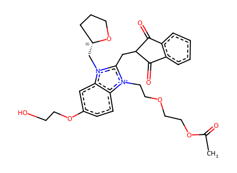 CC(=O)OCCOCC[n+]1c(CC2C(=O)c3ccccc3C2=O)n(C[C@@H]2CCCO2)c2cc(OCCO)ccc21